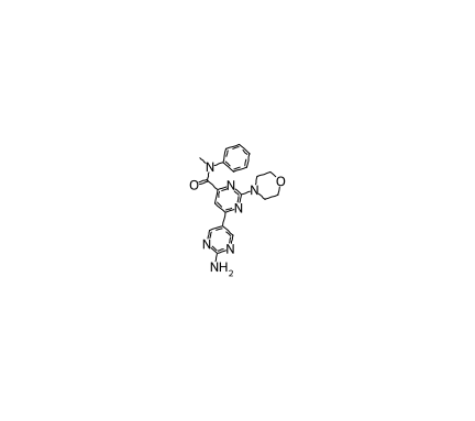 CN(C(=O)c1cc(-c2cnc(N)nc2)nc(N2CCOCC2)n1)c1ccccc1